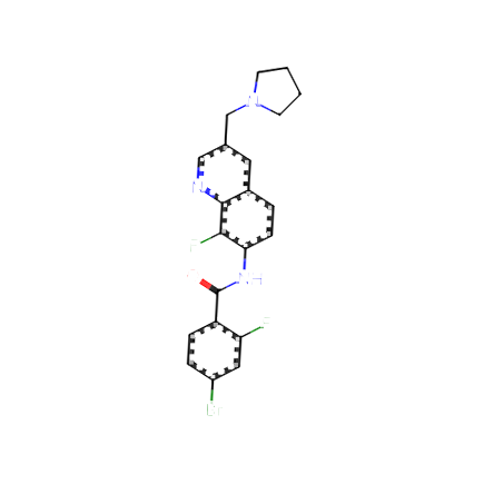 O=C(Nc1ccc2cc(CN3CCCC3)cnc2c1F)c1ccc(Br)cc1F